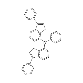 C1=C(c2ccccc2)c2cccc(N(c3ccccc3)c3cccc4c3CC=C4c3ccccc3)c2C1